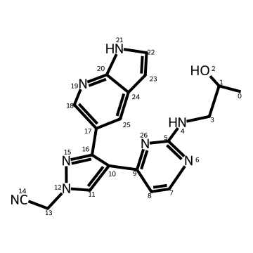 CC(O)CNc1nccc(-c2cn(CC#N)nc2-c2cnc3[nH]ccc3c2)n1